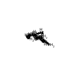 CC(=O)NCCCC[C@H](NC(=O)[C@H](Cc1c[nH]c2c(C)cccc12)NP)C(=O)N[C@H](C(=O)N[C@@H](Cc1ccc(OCCNP)cc1)C(=O)OP)C(C)(C)SP